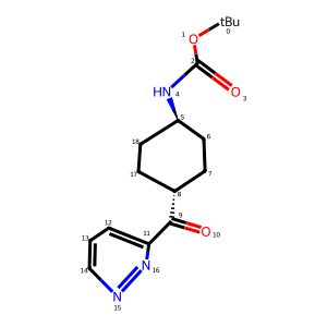 CC(C)(C)OC(=O)N[C@H]1CC[C@H](C(=O)c2cccnn2)CC1